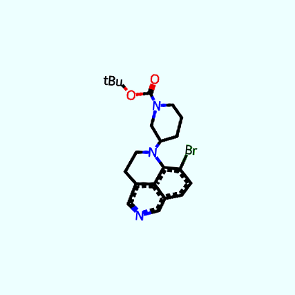 CC(C)(C)OC(=O)N1CCCC(N2CCc3cncc4ccc(Br)c2c34)C1